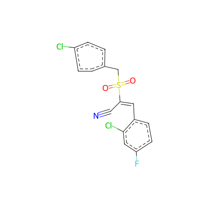 N#CC(=Cc1ccc(F)cc1Cl)S(=O)(=O)Cc1ccc(Cl)cc1